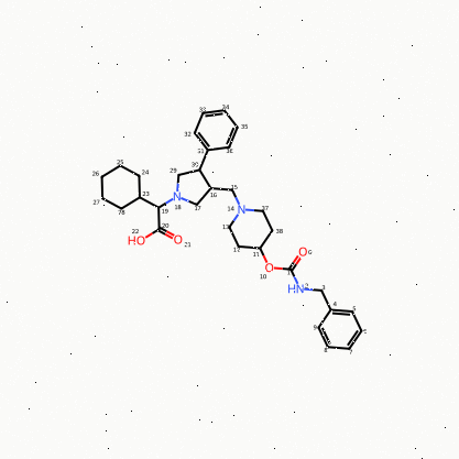 O=C(NCc1ccccc1)OC1CCN(CC2CN(C(C(=O)O)C3CCCCC3)CC2c2ccccc2)CC1